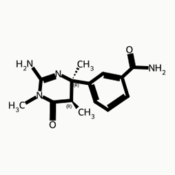 C[C@H]1C(=O)N(C)C(N)=N[C@@]1(C)c1cccc(C(N)=O)c1